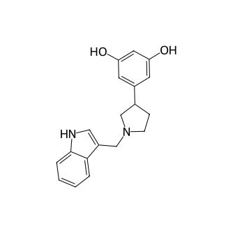 Oc1cc(O)cc(C2CCN(Cc3c[nH]c4ccccc34)C2)c1